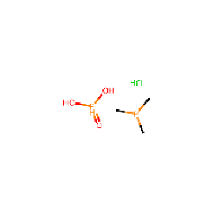 CP(C)C.Cl.O=[PH](O)O